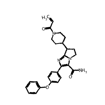 C=CC(=O)N1CCC(C2CCn3c2nc(-c2ccc(Oc4ccccc4)cc2)c3C(N)=O)CC1